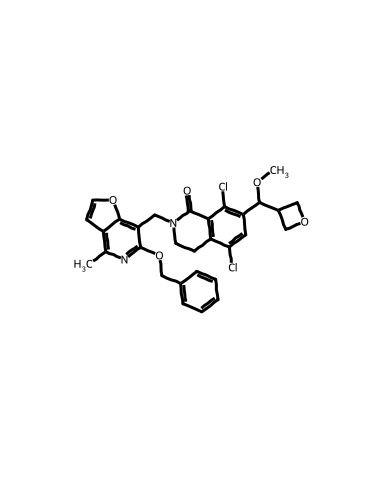 COC(c1cc(Cl)c2c(c1Cl)C(=O)N(Cc1c(OCc3ccccc3)nc(C)c3ccoc13)CC2)C1COC1